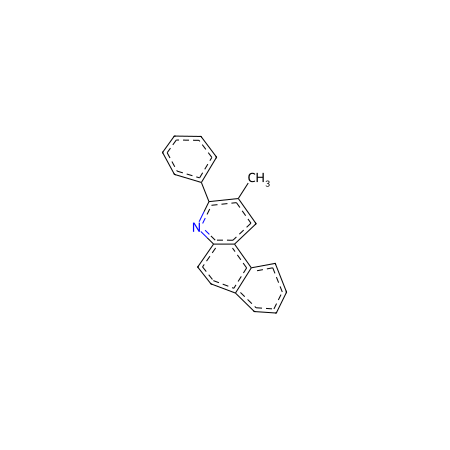 Cc1cc2c(ccc3ccccc32)nc1-c1ccccc1